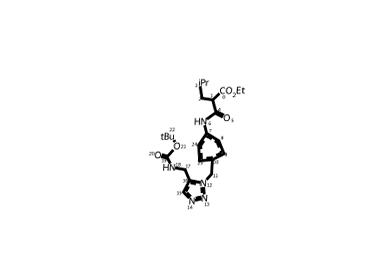 CCOC(=O)C(CC(C)C)C(=O)Nc1ccc(Cn2nncc2CNC(=O)OC(C)(C)C)cc1